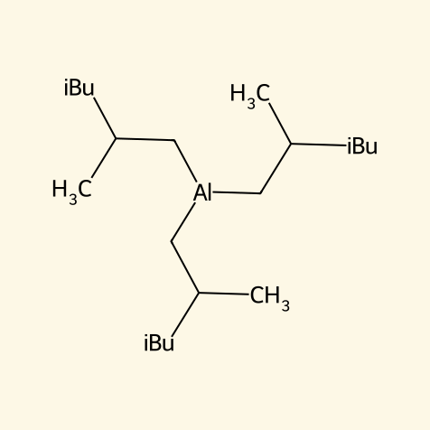 CCC(C)C(C)[CH2][Al]([CH2]C(C)C(C)CC)[CH2]C(C)C(C)CC